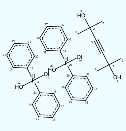 CC(C)(O)C#CC(C)(C)O.O[PH](O)(c1ccccc1)c1ccccc1.O[PH](O)(c1ccccc1)c1ccccc1